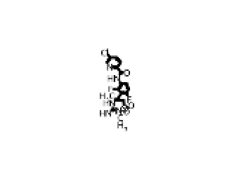 CN1C(=N)N[C@](C)(c2c(F)ccc(NC(=O)c3ccc(Cl)cn3)c2F)CS1(=O)=O